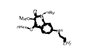 C=CCNc1ccc2c(OCCCCCC)c(OC)c(=O)n(CCCC)c2c1